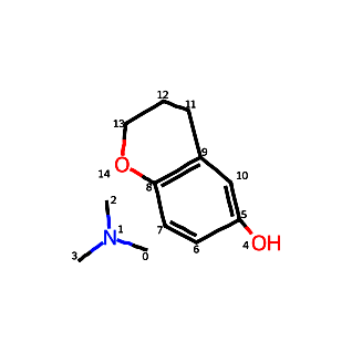 CN(C)C.Oc1ccc2c(c1)CCCO2